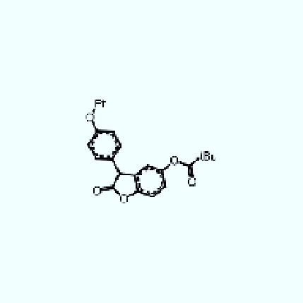 CCOc1ccc(C2C(=O)Oc3ccc(OC(=O)C(C)(C)C)cc32)cc1